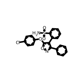 NS(=O)(=O)c1ccccc1-c1c(-c2ccccc2)noc1Oc1ccc(Cl)cc1